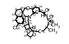 C[C@@H]1[C@@H](C)CCCC2(OCCO2)[C@@H]2CC[C@H]2CN2C[C@@]3(CCCc4cc(Cl)ccc43)COc3ccc(cc32)C(=O)NS1(=O)=O